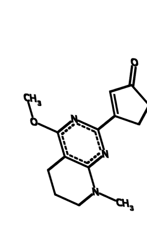 COc1nc(C2=CC(=O)CC2)nc2c1CCCN2C